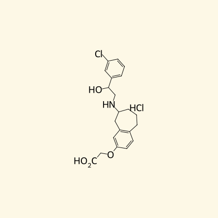 Cl.O=C(O)COc1ccc2c(c1)CC(NCC(O)c1cccc(Cl)c1)CCC2